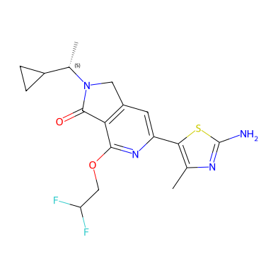 Cc1nc(N)sc1-c1cc2c(c(OCC(F)F)n1)C(=O)N([C@@H](C)C1CC1)C2